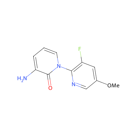 COc1cnc(-n2cccc(N)c2=O)c(F)c1